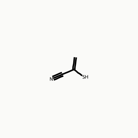 C=C(S)C#N